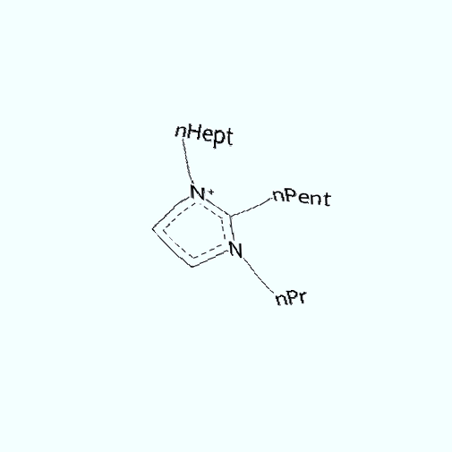 CCCCCCC[n+]1ccn(CCC)c1CCCCC